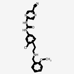 COc1ccccc1CNCCc1ccc(NC(=O)Nc2cnc(C#N)cn2)cc1Cl